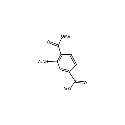 COC(=O)c1ccc(C(=O)OC(C)=O)cc1NC(C)=O